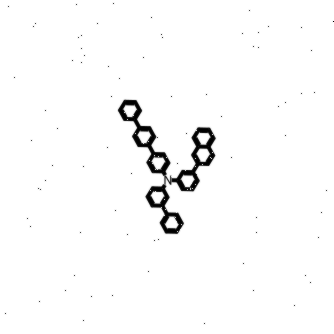 c1ccc(-c2ccc(-c3ccc(N(c4cccc(-c5ccccc5)c4)c4cccc(-c5ccc6ccccc6c5)c4)cc3)cc2)cc1